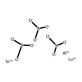 [Al+3].[Lu+3].[O-]B([O-])[O-].[O-]B([O-])[O-].[O-]B([O-])[O-].[Sc+3]